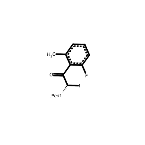 CCC[C@@H](C)C(I)C(=O)c1c(C)cccc1F